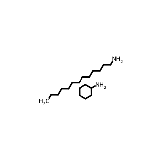 CCCCCCCCCCCCCN.NC1CCCCC1